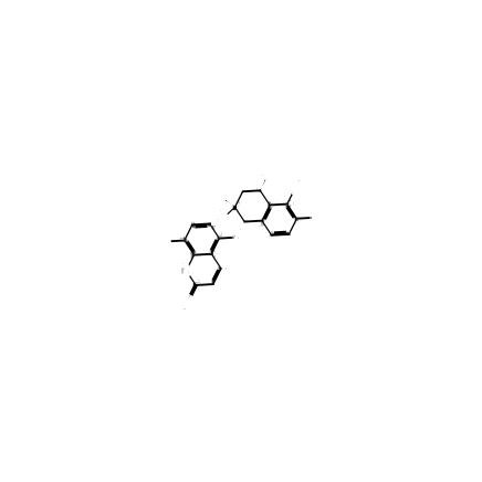 CC[C@@H]1C[C@](O)(C(F)(F)F)[C@@H](Nc2ccc(F)c3[nH]c(=O)ccc23)c2ccc(F)c(O)c21